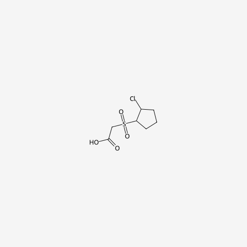 O=C(O)CS(=O)(=O)C1CCCC1Cl